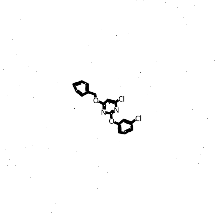 Clc1cccc(Oc2nc(Cl)cc(OCc3ccccc3)n2)c1